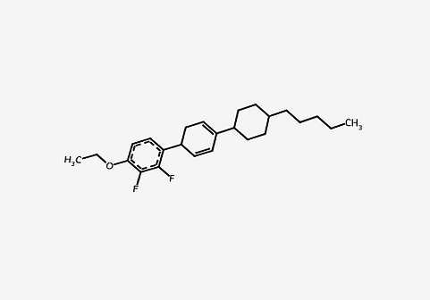 CCCCCC1CCC(C2=CCC(c3ccc(OCC)c(F)c3F)C=C2)CC1